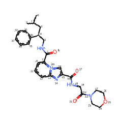 CC(C)CC(CNC(=O)c1cccc2nc(C(=O)NCC(=O)N3CCOCC3)cn12)c1ccccc1